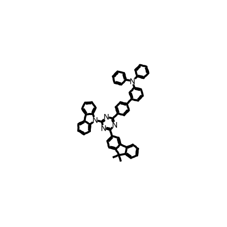 CC1(C)c2ccccc2-c2cc(-c3nc(-c4ccc(-c5cccc(N(c6ccccc6)c6ccccc6)c5)cc4)nc(-n4c5ccccc5c5ccccc54)n3)ccc21